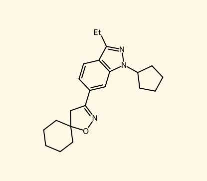 CCc1nn(C2CCCC2)c2cc(C3=NOC4(CCCCC4)C3)ccc12